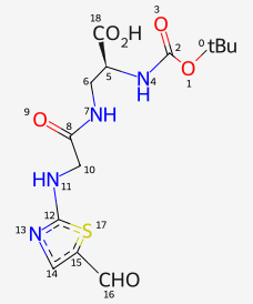 CC(C)(C)OC(=O)N[C@@H](CNC(=O)CNc1ncc(C=O)s1)C(=O)O